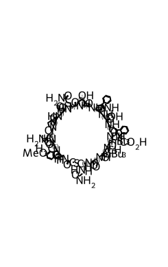 CCCC[C@H]1C(=O)N(C)[C@@H](CCCC)C(=O)N[C@@H](CO)C(=O)N[C@H](CNCC(N)=O)CSCC(=O)N[C@H]2Cc3ccc(OC)cc3N(C2=O)[C@@H](C)C(=O)N[C@@H](CC(N)=O)C(=O)N2CCC[C@H]2C(=O)N[C@@H](CO)C(=O)N[C@@H](CCC(N)=O)C(=O)N2C[C@H](O)C[C@H]2C(=O)N[C@@H](Cc2c[nH]c3ccccc23)C(=O)N[C@@H](CO)C(=O)N[C@@H](Cc2cn(CC(=O)O)c3ccccc23)C(=O)N1C